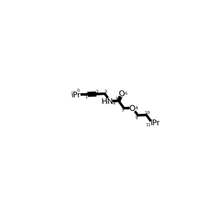 CC(C)C#CCNC(=O)COCCC(C)C